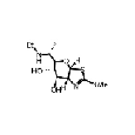 CCN[C@H](C)[C@H]1O[C@@H]2SC(NC)=N[C@@H]2[C@@H](O)[C@@H]1O